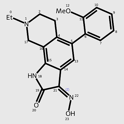 CCN1CCc2c(-c3ccccc3OC)cc3c(c2C1)NC(=O)/C3=N\O